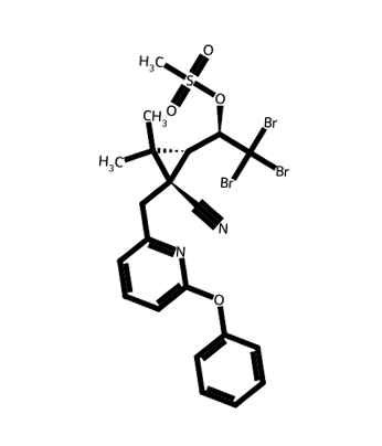 CC1(C)[C@H]([C@@H](OS(C)(=O)=O)C(Br)(Br)Br)[C@]1(C#N)Cc1cccc(Oc2ccccc2)n1